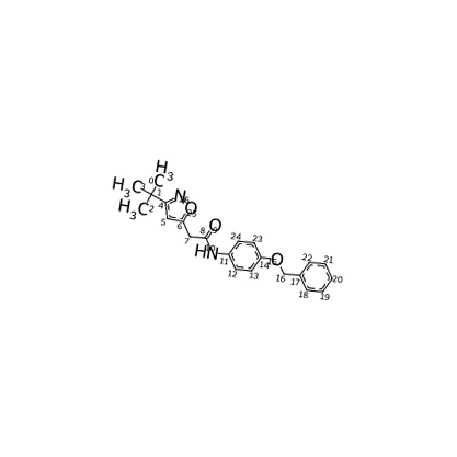 CC(C)(C)c1cc(CC(=O)Nc2ccc(OCc3ccccc3)cc2)on1